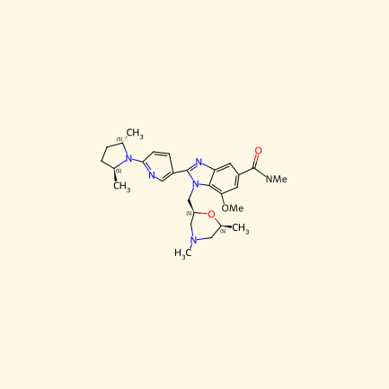 CNC(=O)c1cc(OC)c2c(c1)nc(-c1ccc(N3[C@@H](C)CC[C@@H]3C)nc1)n2C[C@@H]1CN(C)C[C@H](C)O1